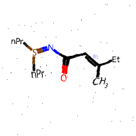 CCCS(CCC)=NC(=O)/C=C(\C)CC